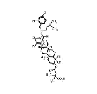 CC(C)C1=C2[C@H]3CCC4[C@@H](CCC5C(C)(C)[C@@H](OC(=O)CC(C)(C)C(=O)O)CC[C@]45C)[C@]3(C)CC[C@@]2([C@H](O)CN(CCN(C)C)Cc2ccc(Cl)cc2Cl)CC1=O